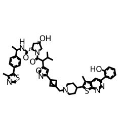 Cc1ncsc1-c1ccc(C(C)NC(=O)[C@@H]2C[C@@H](O)CN2C(=O)C(c2cc(C34CC(CN5CCC(c6sc7nnc(-c8ccccc8O)cc7c6C)CC5)(C3)C4)no2)C(C)C)cc1